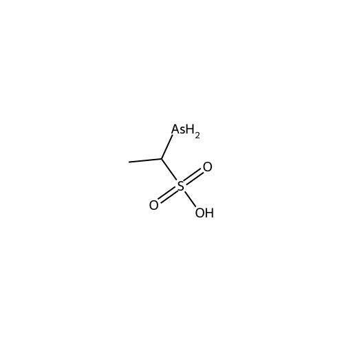 CC([AsH2])S(=O)(=O)O